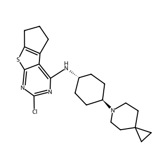 Clc1nc(N[C@H]2CC[C@H](N3CCC4(CC3)CC4)CC2)c2c3c(sc2n1)CCC3